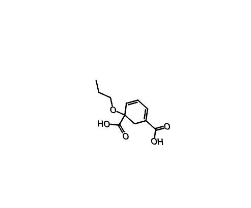 CCCOC1(C(=O)O)C=CC=C(C(=O)O)C1